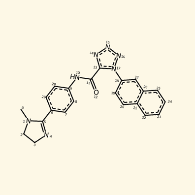 CN1CCN=C1c1ccc(NC(=O)c2nnnn2-c2ccc3ccccc3c2)cc1